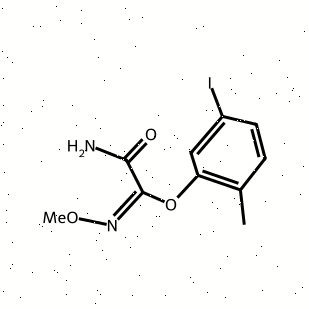 CO/N=C(/Oc1cc(I)ccc1C)C(N)=O